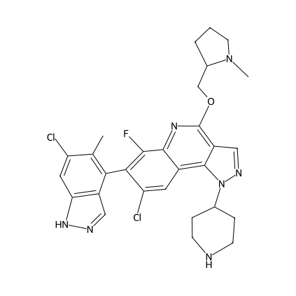 Cc1c(Cl)cc2[nH]ncc2c1-c1c(Cl)cc2c(nc(OCC3CCCN3C)c3cnn(C4CCNCC4)c32)c1F